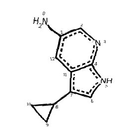 Nc1cnc2[nH]cc(C3CC3)c2c1